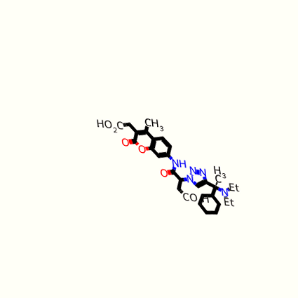 CCN(CC)[C@](C)(c1cn(C(CC(=O)O)C(=O)Nc2ccc3c(C)c(CC(=O)O)c(=O)oc3c2)nn1)C1CCCCC1